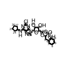 O=P(O)(O)C(Cc1ccccc1)OC[C@H]1O[C@@H](n2nnc3c(NC4CCCC4)nc(Cl)nc32)[C@H](O)[C@@H]1O